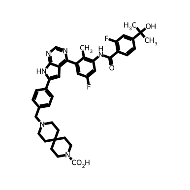 Cc1c(NC(=O)c2ccc(C(C)(C)O)cc2F)cc(F)cc1-c1ncnc2[nH]c(-c3ccc(CN4CCC5(CC4)CCN(C(=O)O)CC5)cc3)cc12